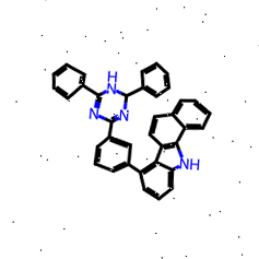 c1ccc(C2=NC(c3cccc(-c4cccc5[nH]c6c7ccccc7ccc6c45)c3)=NC(c3ccccc3)N2)cc1